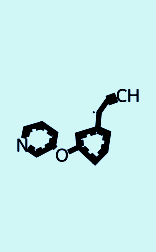 C#C[CH]c1cccc(Oc2cccnc2)c1